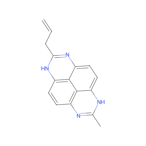 C=CCC1=Nc2ccc3c4c(ccc(c24)N1)N=C(C)N3